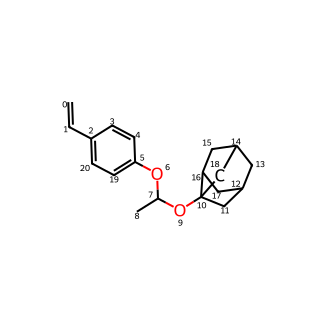 C=Cc1ccc(OC(C)OC23CC4CC(CC2C4)C3)cc1